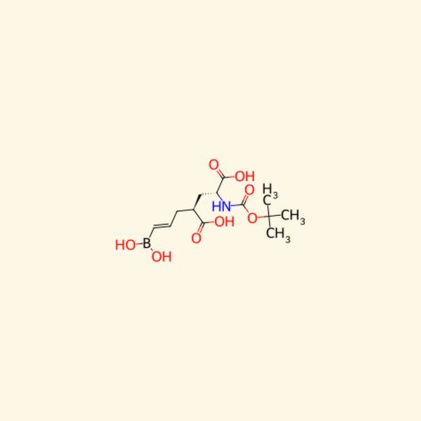 CC(C)(C)OC(=O)N[C@H](C[C@H](C/C=C/B(O)O)C(=O)O)C(=O)O